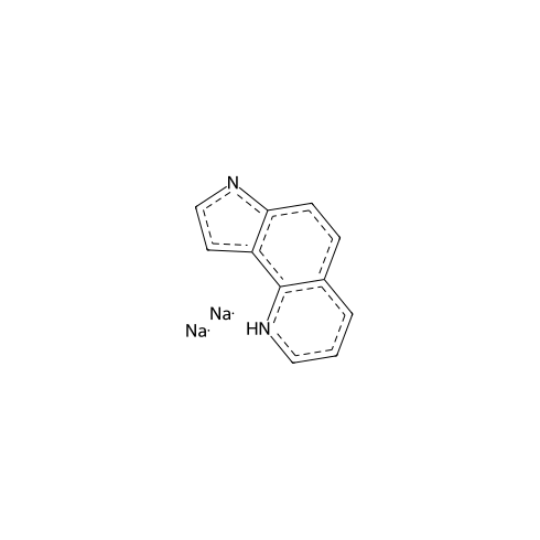 [Na].[Na].c1c[nH]c2c(c1)ccc1nccc12